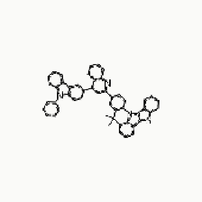 CC1(C)c2cc(-c3cc(-c4ccc5c(c4)c4ccccc4n5-c4ccccc4)c4ccccc4n3)ccc2-n2c3c1cccc3c1sc3ccccc3c12